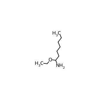 CCCCCCC(N)OCC